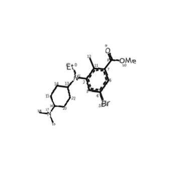 CCN(c1cc(Br)cc(C(=O)OC)c1C)C1CCC(N(C)C)CC1